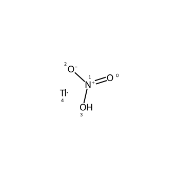 O=[N+]([O-])O.[Tl]